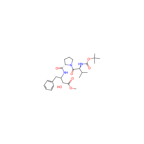 COC(=O)[C@H](O)C(Cc1ccccc1)NC(=O)[C@@H]1CCCN1C(=O)[C@@H](NC(=O)OC(C)(C)C)C(C)C